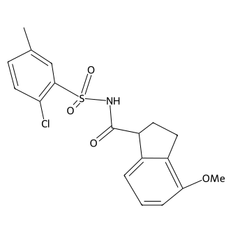 COc1cccc2c1CCC2C(=O)NS(=O)(=O)c1cc(C)ccc1Cl